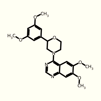 COc1cc(OC)cc(C2CN(c3ncnc4cc(OC)c(OC)cc34)CCO2)c1